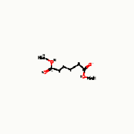 O=C(CCCCC(=O)O[SeH])O[SeH]